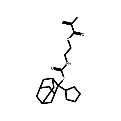 C=C(C)C(=O)OCCNC(=O)OC1(C2CCCC2)C2CC3CC(C2)CC1C3